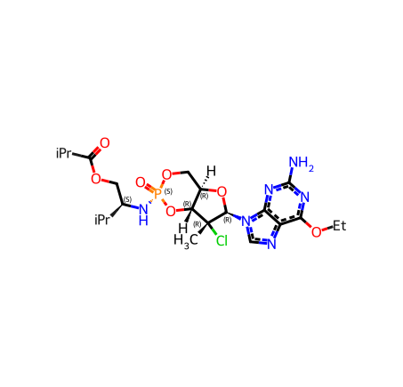 CCOc1nc(N)nc2c1ncn2[C@@H]1O[C@@H]2CO[P@@](=O)(N[C@H](COC(=O)C(C)C)C(C)C)O[C@H]2[C@@]1(C)Cl